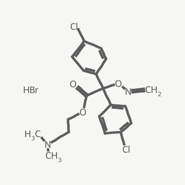 Br.C=NOC(C(=O)OCCN(C)C)(c1ccc(Cl)cc1)c1ccc(Cl)cc1